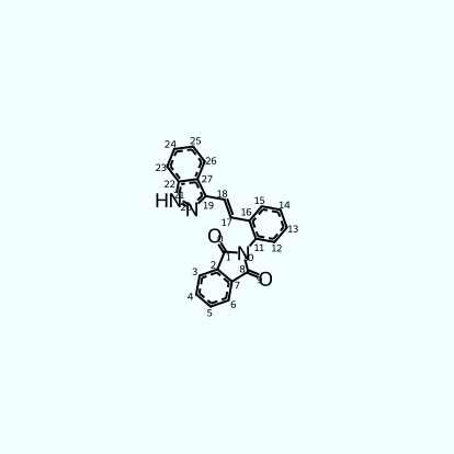 O=C1c2ccccc2C(=O)N1c1ccccc1/C=C/c1n[nH]c2ccccc12